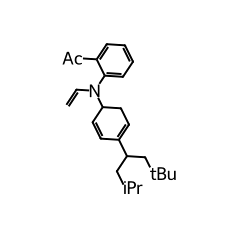 C=CN(c1ccccc1C(C)=O)C1C=CC(C(CC(C)C)CC(C)(C)C)=CC1